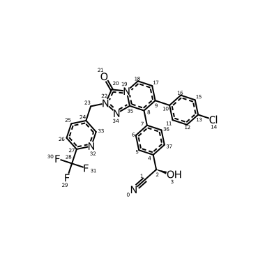 N#C[C@H](O)c1ccc(-c2c(-c3ccc(Cl)cc3)ccn3c(=O)n(Cc4ccc(C(F)(F)F)nc4)nc23)cc1